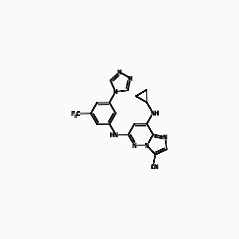 N#Cc1cnc2c(NC3CC3)cc(Nc3cc(-n4cnnc4)cc(C(F)(F)F)c3)nn12